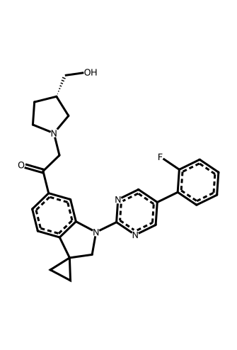 O=C(CN1CC[C@H](CO)C1)c1ccc2c(c1)N(c1ncc(-c3ccccc3F)cn1)CC21CC1